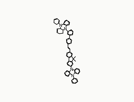 CC1(C)c2cc(/C=C/c3ccc(-c4cccc(N5c6ccccc6N(C6=CC=CCC6)C6C=CCCC65)c4)cc3)ccc2-c2ccc(N3c4ccccc4N(c4ccccc4)c4ccccc43)cc21